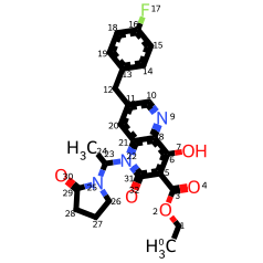 CCOC(=O)c1c(O)c2ncc(Cc3ccc(F)cc3)cc2n(C(C)N2CCCC2=O)c1=O